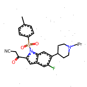 Cc1ccc(S(=O)(=O)n2c(C(=O)CC#N)cc3cc(F)c(C4CCN(C(C)C)CC4)cc32)cc1